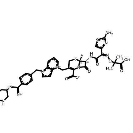 CC(C)(O/N=C(\C(=O)N[C@@H]1C(=O)N2C(C(=O)[O-])=C(C[n+]3cccc4c3ccn4Cc3ccc(C(=N)NC4CCCNC4)cc3)CS[C@H]12)c1csc(N)n1)C(=O)O